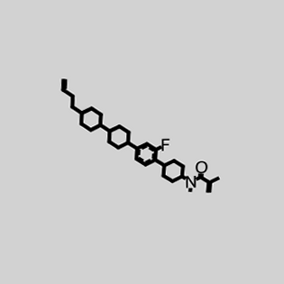 C=CCCC1CCC(C2CCC(c3ccc(C4CCC(N(C)C(=O)C(=C)C)CC4)c(F)c3)CC2)CC1